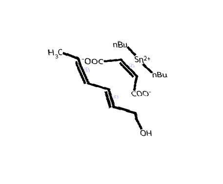 C/C=C/C=C/CO.CCC[CH2][Sn+2][CH2]CCC.O=C([O-])/C=C\C(=O)[O-]